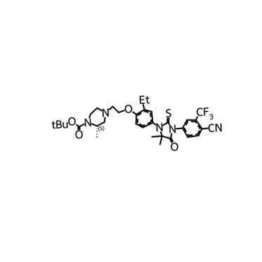 CCc1cc(N2C(=S)N(c3ccc(C#N)c(C(F)(F)F)c3)C(=O)C2(C)C)ccc1OCCN1CCN(C(=O)OC(C)(C)C)[C@@H](C)C1